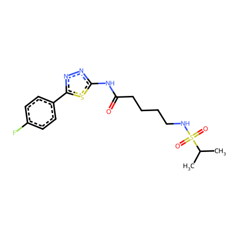 CC(C)S(=O)(=O)NCCCCC(=O)Nc1nnc(-c2ccc(F)cc2)s1